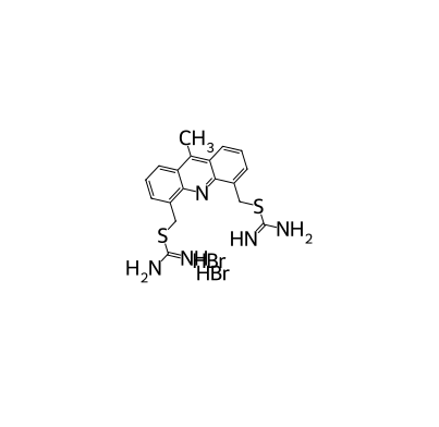 Br.Br.Cc1c2cccc(CSC(=N)N)c2nc2c(CSC(=N)N)cccc12